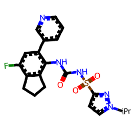 CC(C)n1ccc(S(=O)(=O)NC(=O)Nc2c(-c3cccnc3)cc(F)c3c2CCC3)n1